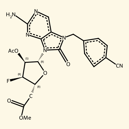 COC(=O)C[C@H]1O[C@@H](n2c(=O)n(Cc3ccc(C#N)cc3)c3cnc(N)nc32)[C@H](OC(C)=O)[C@@H]1F